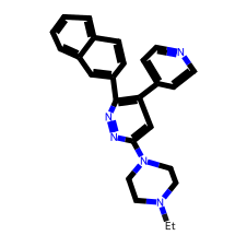 CCN1CCN(c2cc(-c3ccncc3)c(-c3ccc4ccccc4c3)nn2)CC1